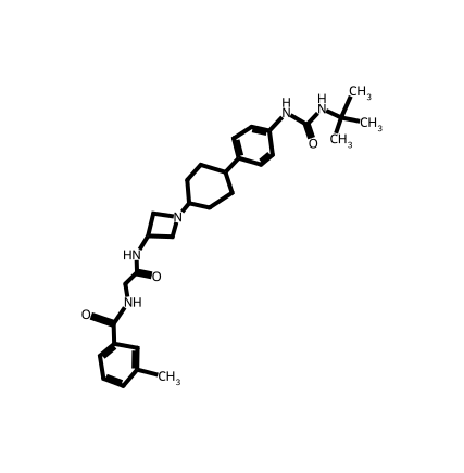 Cc1cccc(C(=O)NCC(=O)NC2CN(C3CCC(c4ccc(NC(=O)NC(C)(C)C)cc4)CC3)C2)c1